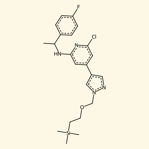 CC(Nc1cc(-c2cnn(COCC[Si](C)(C)C)c2)cc(Cl)n1)c1ccc(F)cc1